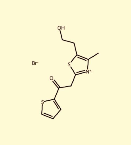 CC1=C(CCO)SC(CC(=O)c2cccs2)=[N+]1.[Br-]